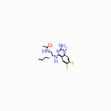 CCCC[C@H](CNC(C)=O)Nc1nc(N)nc2cc(F)c(F)cc12